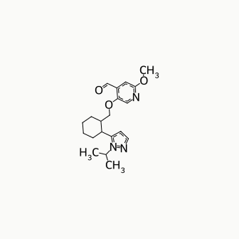 COc1cc(C=O)c(OCC2CCCCC2c2ccnn2C(C)C)cn1